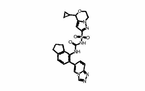 O=C(Nc1c(-c2ccc3nncn3c2)ccc2c1CCC2)NS(=O)(=O)c1cc2n(n1)CCOC2C1CC1